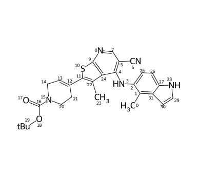 Cc1c(Nc2c(C#N)cnc3sc(C4=CCN(C(=O)OC(C)(C)C)CC4)c(C)c23)ccc2[nH]ccc12